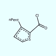 CCCCCc1ccsc1C(=O)Cl